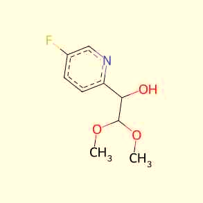 COC(OC)C(O)c1ccc(F)cn1